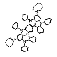 c1ccc(N2c3ccccc3B3c4cc5c(cc4N(c4ccccc4)c4cc(N6CCCCCC6)cc2c43)N(c2ccccc2)c2cc(N3CCCCCC3)cc3c2B5c2ccccc2N3c2ccccc2)cc1